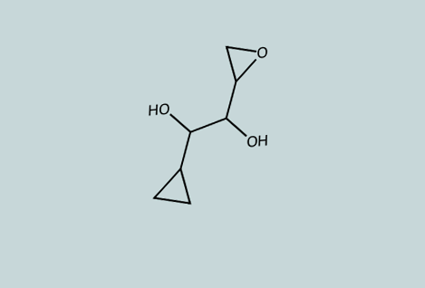 OC(C1CC1)C(O)C1CO1